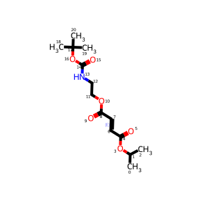 CC(C)OC(=O)/C=C/C(=O)OCCNC(=O)OC(C)(C)C